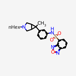 CCCCCCN1CC2C(C1)C2(C)c1cccc(NS(=O)(=O)c2cccc3nonc23)c1